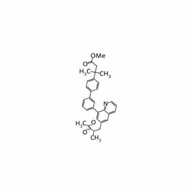 COC(=O)CC(C)(C)c1ccc(-c2cccc(-c3cc(CC(C)S(C)(=O)=O)cc4cccnc34)c2)cc1